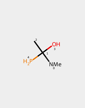 CNC(C)(O)P